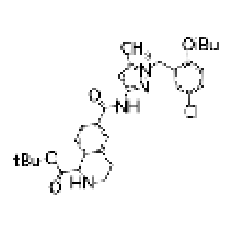 Cc1cc(NC(=O)c2ccc3c(c2)CCNC3C(=O)OC(C)(C)C)nn1Cc1cc(Cl)ccc1OCC(C)C